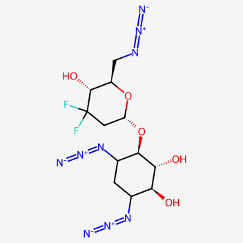 [N-]=[N+]=NC[C@H]1O[C@H](O[C@@H]2C(N=[N+]=[N-])CC(N=[N+]=[N-])[C@H](O)[C@H]2O)CC(F)(F)[C@@H]1O